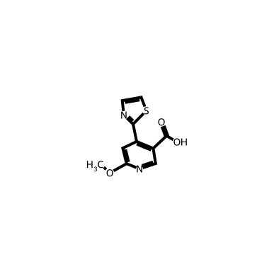 COc1cc(-c2nccs2)c(C(=O)O)cn1